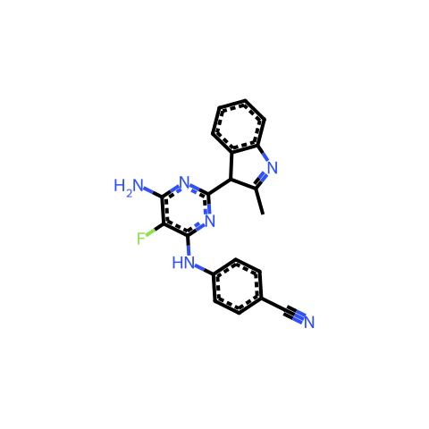 CC1=Nc2ccccc2C1c1nc(N)c(F)c(Nc2ccc(C#N)cc2)n1